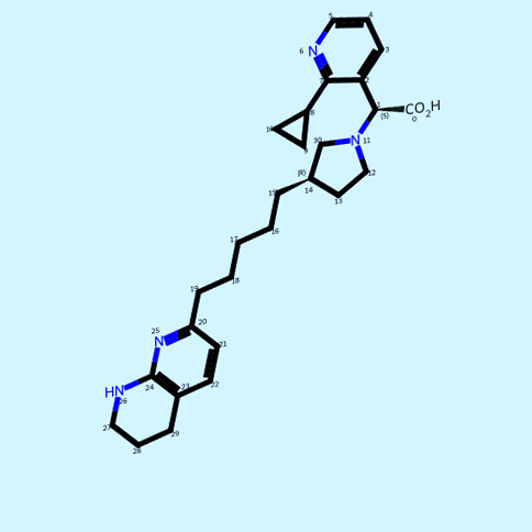 O=C(O)[C@H](c1cccnc1C1CC1)N1CC[C@@H](CCCCCc2ccc3c(n2)NCCC3)C1